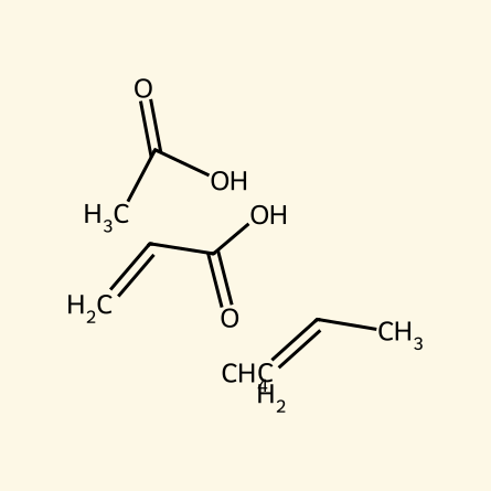 C.C=CC.C=CC(=O)O.CC(=O)O